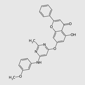 COc1cccc(Nc2cc(Oc3cc(O)c4c(=O)cc(-c5ccccc5)oc4c3)nc(C)n2)c1